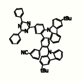 CC(C)(C)c1ccc2c(c1)c1ccccc1n2-c1ccc(-c2nc(-c3ccccc3)nc(-c3ccccc3)n2)cc1-c1ccc(-n2c3ccccc3c3cc(C(C)(C)C)ccc32)c(-c2cccc(C#N)c2)c1